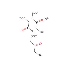 CCC(=O)CC(=O)[O-].CCC(C)CC(=O)CC(=O)[O-].CCC(C)CC(=O)CC(=O)[O-].[Al+3]